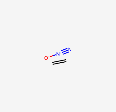 C=C.N#[N+][O-]